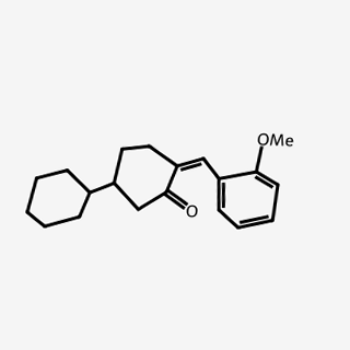 COc1ccccc1C=C1CCC(C2CCCCC2)CC1=O